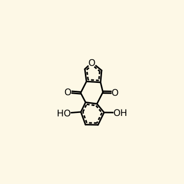 O=C1c2cocc2C(=O)c2c(O)ccc(O)c21